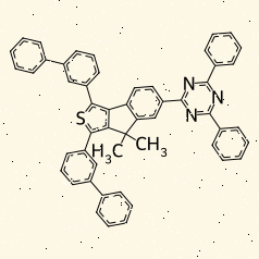 CC1(C)c2cc(-c3nc(-c4ccccc4)nc(-c4ccccc4)n3)ccc2-c2c(-c3cccc(-c4ccccc4)c3)sc(-c3cccc(-c4ccccc4)c3)c21